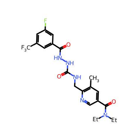 CCN(CC)C(=O)c1cnc(CNC(=O)NNC(=O)c2cc(F)cc(C(F)(F)F)c2)c(C)c1